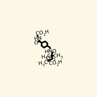 CC(C)(CC(C)(C)C(=O)NCC1CCC(C(=O)NCC(=O)O)CC1)C(=O)O